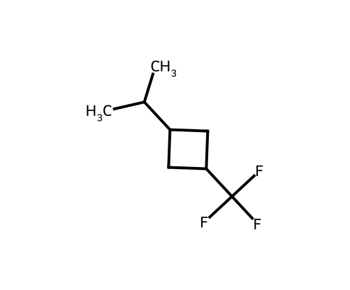 CC(C)C1CC(C(F)(F)F)C1